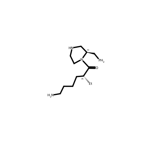 CC[C@H](CCCCN)C(=O)N1CCNC[C@H]1CP